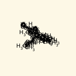 CN(C(=O)OC(C)(C)C)[C@@H]1C(O)[C@@H](OC2C(O)C(OC3=CCC[C@@H](CNCCOC4CCCCO4)O3)[C@@H](NC(=O)OC(C)(C)C)C[C@H]2NC(=O)[C@@H](O)CNC(=O)OC(C)(C)C)OCC1(C)O